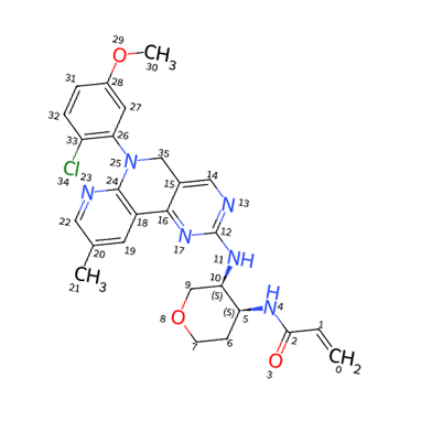 C=CC(=O)N[C@H]1CCOC[C@H]1Nc1ncc2c(n1)-c1cc(C)cnc1N(c1cc(OC)ccc1Cl)C2